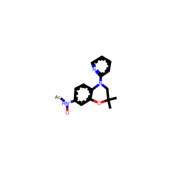 CC(=O)[NH+]([O-])c1ccc2c(c1)OC(C)(C)CN2c1ccccn1